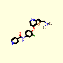 CCN(CC)Cc1cc2nccc(Oc3ccc(NC(=O)c4ccncc4)cc3F)c2s1